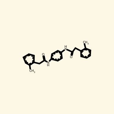 Cc1ccccc1CC(=O)Nc1ccc(NC(=O)Cc2ccccc2C)cc1